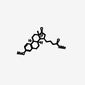 CNC(=O)CCC[C@@H]1CC(=O)[C@@]2(C)CC[C@@H]3c4ccc(OC)cc4CC[C@H]3[C@H]12